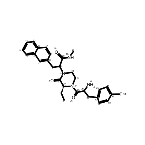 CC[C@H]1C(=O)N(C(Cc2ccc3ccccc3c2)C(=O)NC)CCN1C(=O)C(N)Cc1ccc(F)cc1